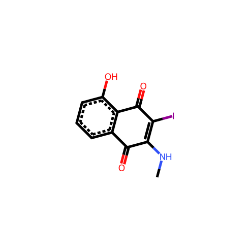 CNC1=C(I)C(=O)c2c(O)cccc2C1=O